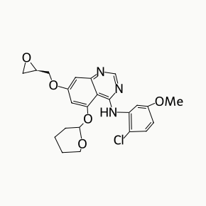 COc1ccc(Cl)c(Nc2ncnc3cc(OC[C@H]4CO4)cc(OC4CCCCO4)c23)c1